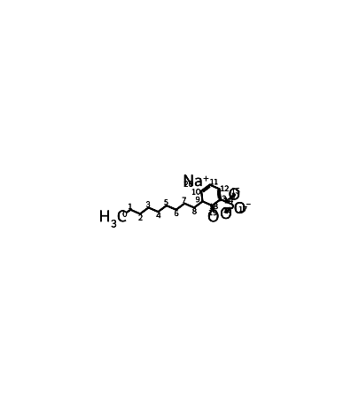 CCCCCCCCCC1C=CC=C(S(=O)(=O)[O-])C1=O.[Na+]